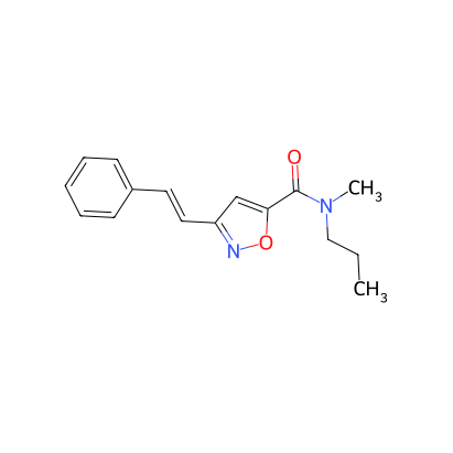 CCCN(C)C(=O)c1cc(/C=C/c2ccccc2)no1